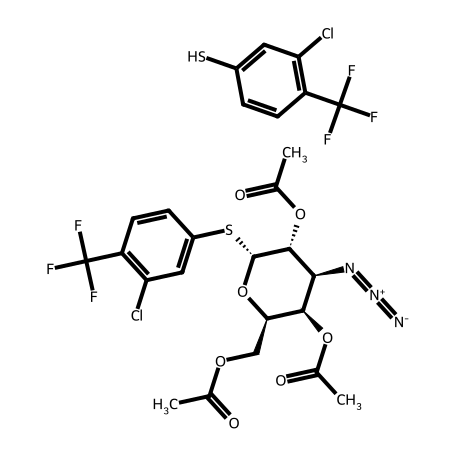 CC(=O)OC[C@H]1O[C@H](Sc2ccc(C(F)(F)F)c(Cl)c2)[C@H](OC(C)=O)[C@@H](N=[N+]=[N-])[C@H]1OC(C)=O.FC(F)(F)c1ccc(S)cc1Cl